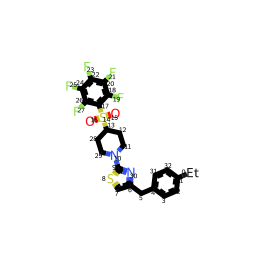 CCc1ccc(Cc2csc(N3CCC(S(=O)(=O)c4c(F)c(F)c(F)c(F)c4F)CC3)n2)cc1